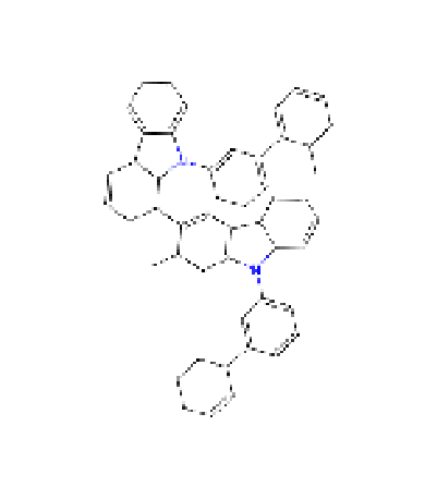 CC1CC=CC=C1C1=CCCC(N2c3ccccc3C3C=CCC(C4=CC5=C(CC4C)N(c4cccc(C6C=CCCC6)c4)C4C=CC=CC54)C32)=C1